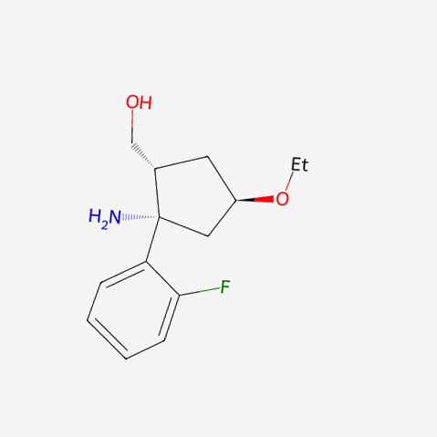 CCO[C@@H]1C[C@@H](CO)[C@](N)(c2ccccc2F)C1